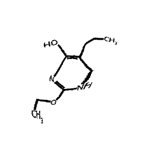 CCOC1=NC(O)=C(CC)[CH]N1